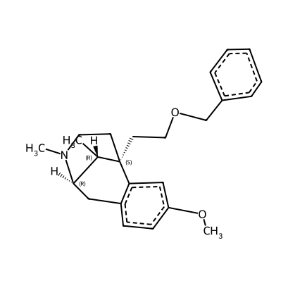 COc1ccc2c(c1)[C@]1(CCOCc3ccccc3)CCN(C)[C@H](C2)[C@@H]1C